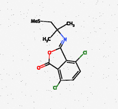 CSCC(C)(C)N=C1OC(=O)c2c(Cl)ccc(Cl)c21